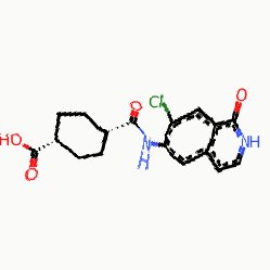 O=c1[nH]ccc2cc(NC(=O)[C@H]3CC[C@@H](C(=O)O)CC3)c(Cl)cc12